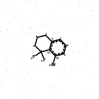 FC1(F)CCCc2cccc(Br)c21